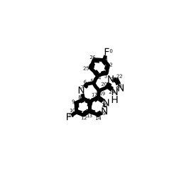 Fc1ccc(C2C=Nc3cc(F)cc4cnnc(c34)C2c2ncn[nH]2)cc1